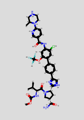 COC(=O)N[C@H](C(=O)N1C[C@@H](C(N)=O)C[C@H]1c1nc(-c2ccc(-c3cc(Cl)c(NC(=O)c4ccc(N5CCNCC5C)nc4)cc3OC(F)(F)F)cc2)c[nH]1)C(C)C